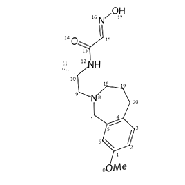 COc1ccc2c(c1)CN(C[C@H](C)NC(=O)/C=N/O)CCC2